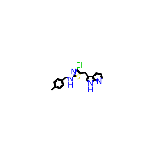 Cc1ccc(CNc2nc(Cl)c(Cc3c[nH]c4ncccc34)s2)cc1